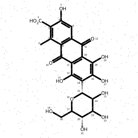 Cc1c(C(=O)O)c(O)cc2c1C(=O)c1c(O)c([C@H]3OC(CO)[C@@H](O)C(O)C3O)c(O)c(O)c1C2=O